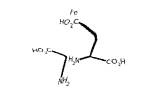 NC(CC(=O)O)C(=O)O.NCC(=O)O.[Fe]